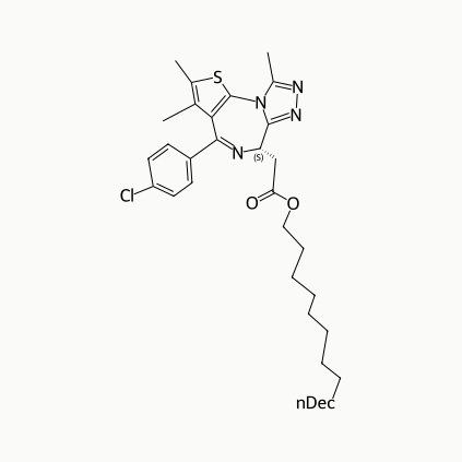 CCCCCCCCCCCCCCCCCCOC(=O)C[C@@H]1N=C(c2ccc(Cl)cc2)c2c(sc(C)c2C)-n2c(C)nnc21